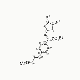 CCOC(=O)/C(=C\C1CC(F)C(F)C1)c1ccc(SCCOC)cc1